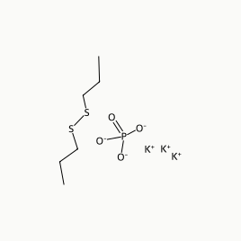 CCCSSCCC.O=P([O-])([O-])[O-].[K+].[K+].[K+]